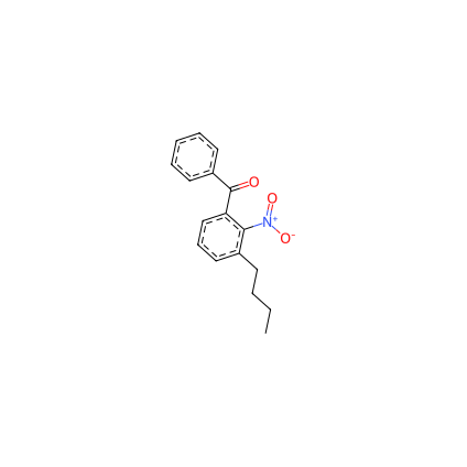 CCCCc1cccc(C(=O)c2ccccc2)c1[N+](=O)[O-]